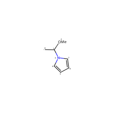 [CH2]C(OC)n1cccc1